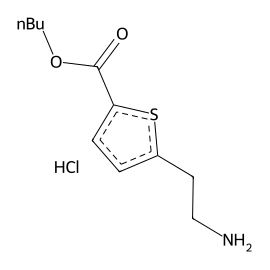 CCCCOC(=O)c1ccc(CCN)s1.Cl